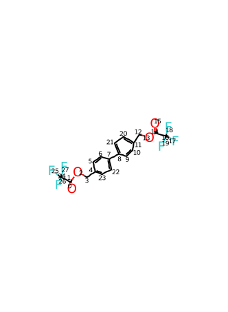 O=C(OCc1ccc(-c2ccc(COC(=O)C(F)(F)F)cc2)cc1)C(F)(F)F